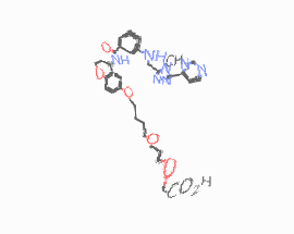 Cn1c(CNc2cccc(C(=O)N[C@@H]3CCOc4ccc(OCCCCCOCCCOCC(=O)O)cc43)c2)nnc1-c1ccncn1